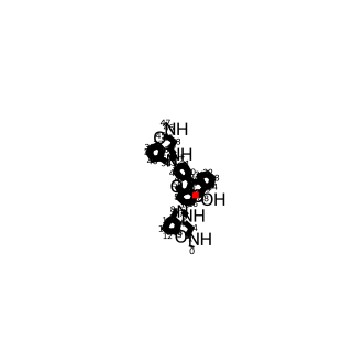 CNC(=O)CCNN(Cc1ccccc1)c1ccc2c(-c3ccccc3C(=O)O)c3cc/c(=[N+](/Cc4ccccc4)NCCC(=O)NC)cc-3oc2c1